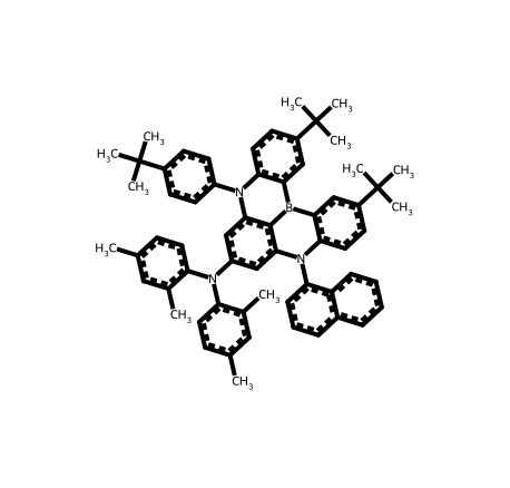 Cc1ccc(N(c2cc3c4c(c2)N(c2cccc5ccccc25)c2ccc(C(C)(C)C)cc2B4c2cc(C(C)(C)C)ccc2N3c2ccc(C(C)(C)C)cc2)c2ccc(C)cc2C)c(C)c1